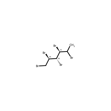 CC(Br)[C@H](Br)[C@H](Br)[C@H](Br)CBr